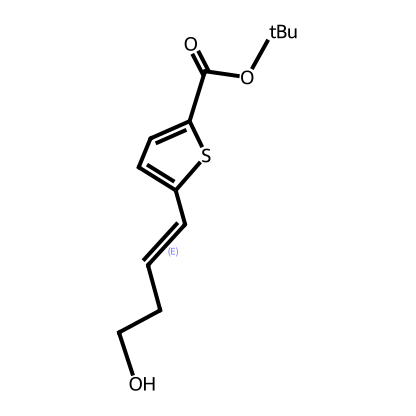 CC(C)(C)OC(=O)c1ccc(/C=C/CCO)s1